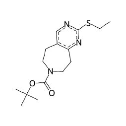 CCSc1ncc2c(n1)CCN(C(=O)OC(C)(C)C)CC2